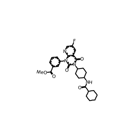 COC(=O)c1cccc(-n2c(=O)n(C3CCC(NC(=O)C4CCCCC4)CC3)c(=O)c3cc(F)cnc32)c1